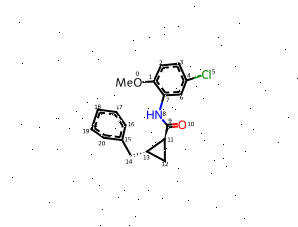 COc1ccc(Cl)cc1NC(=O)[C@H]1C[C@@H]1Cc1ccccc1